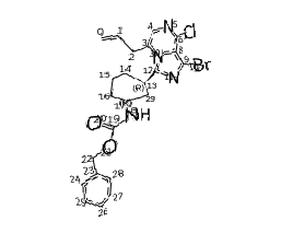 C=CCc1cnc(Cl)c2c(Br)nc([C@@H]3CCC[C@@H](NC(=O)OCc4ccccc4)C3)n12